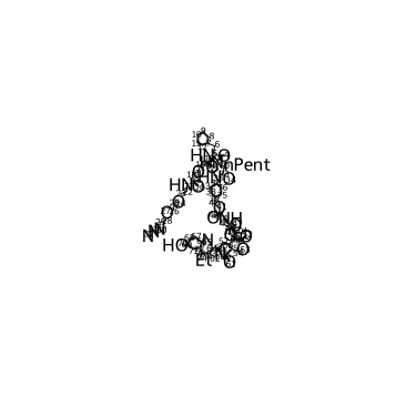 CCCCCC(NC(=O)C(Cc1ccccc1)NC(=O)COCC(=O)NCCOCCOCCN=[N+]=[N-])C(=O)Nc1ccc(COC(=O)NCC(=O)O[C@]2(CC)C(=O)OCc3c2cc2n(c3=O)Cc3c-2nc2ccc(O)cc2c3CC)cc1